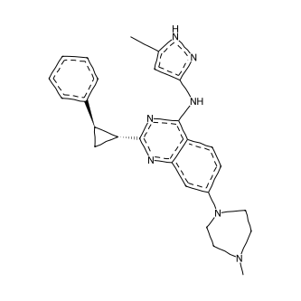 Cc1cc(Nc2nc([C@@H]3C[C@H]3c3ccccc3)nc3cc(N4CCN(C)CC4)ccc23)n[nH]1